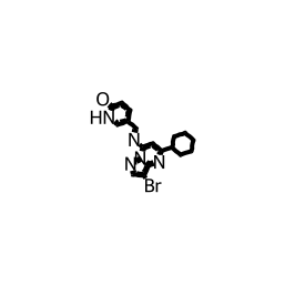 O=c1ccc(/C=N/c2cc(C3CCCCC3)nc3c(Br)cnn23)c[nH]1